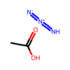 CC(=O)O.[N-]=[N+]=N